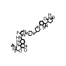 Cn1nc(C2CCC(=O)NC2=O)c2cccc(N3CCC(CN4CCN(c5ncc(F)c(Nc6ccc7c(c6)c6c(c(=O)n7C)OCC(F)(F)[C@H](C7CC7)N6)n5)CC4)CC3)c21